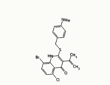 C=C(C)c1c(SCc2ccc(NC)cc2)[nH]c2c(Br)ccc(Cl)c2c1=O